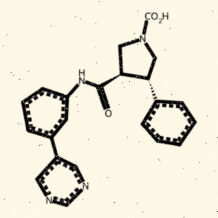 O=C(Nc1cccc(-c2cncnc2)c1)[C@H]1CN(C(=O)O)C[C@@H]1c1ccccc1